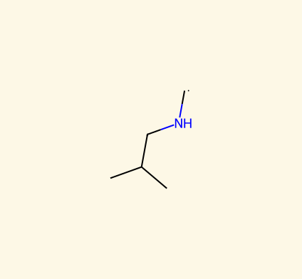 [CH2]NCC(C)C